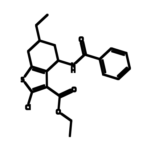 CCOC(=O)c1c(Cl)sc2c1C(NC(=O)c1ccccc1)CC(CC)C2